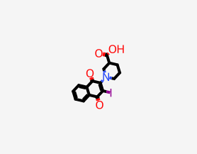 O=C1C(I)=C(N2CCCC(C(=O)O)C2)C(=O)c2ccccc21